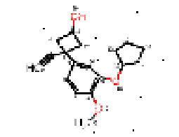 C#CC1(c2ccc(OC)c(OC3CCCC3)c2)CC(O)C1